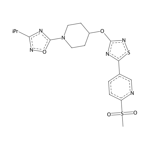 CC(C)c1noc(N2CCC(Oc3nsc(-c4ccc(S(C)(=O)=O)nc4)n3)CC2)n1